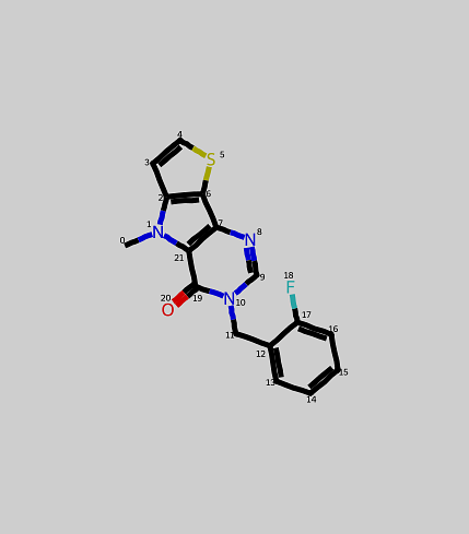 Cn1c2ccsc2c2ncn(Cc3ccccc3F)c(=O)c21